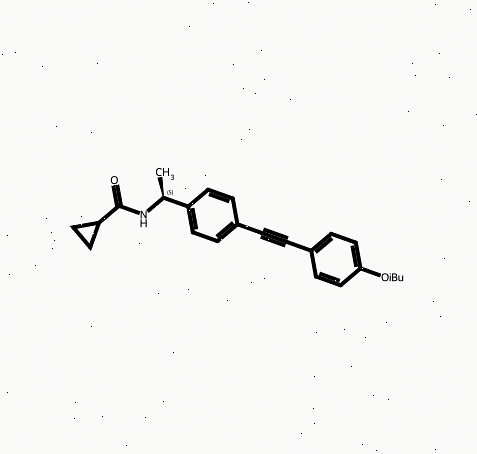 CC(C)COc1ccc(C#Cc2ccc([C@H](C)NC(=O)C3CC3)cc2)cc1